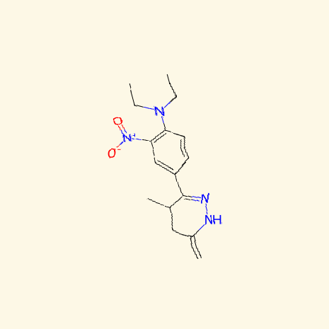 C=C1CC(C)C(c2ccc(N(CC)CC)c([N+](=O)[O-])c2)=NN1